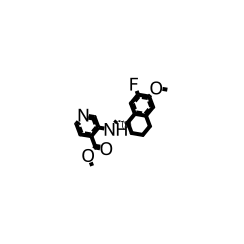 COC(=O)c1ccncc1NC[C@H]1CCCc2cc(OC)c(F)cc21